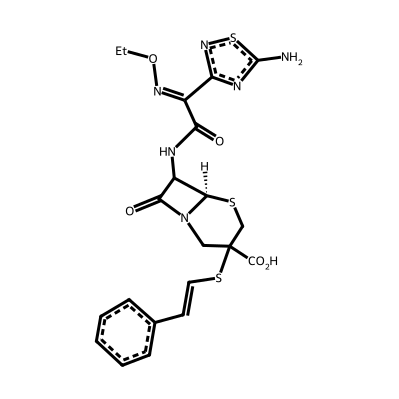 CCON=C(C(=O)NC1C(=O)N2CC(SC=Cc3ccccc3)(C(=O)O)CS[C@H]12)c1nsc(N)n1